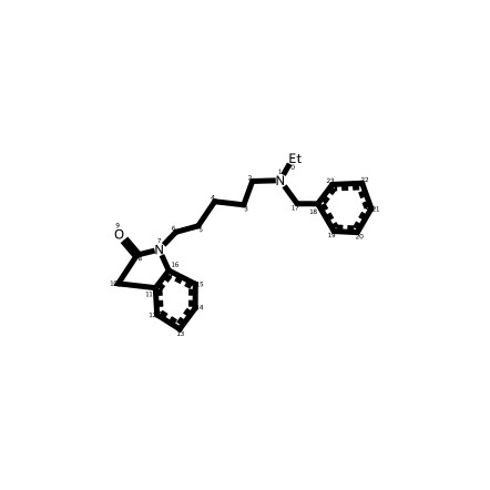 CCN(CCCCCN1C(=O)Cc2ccccc21)Cc1ccccc1